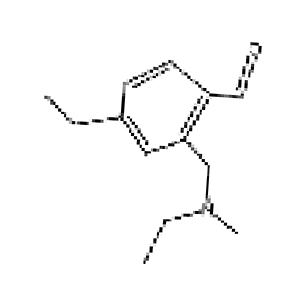 CCc1ccc(C=O)c(CN(C)CC)c1